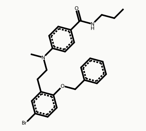 CCCNC(=O)c1ccc(N(C)CCc2cc(Br)ccc2OCc2ccccc2)cc1